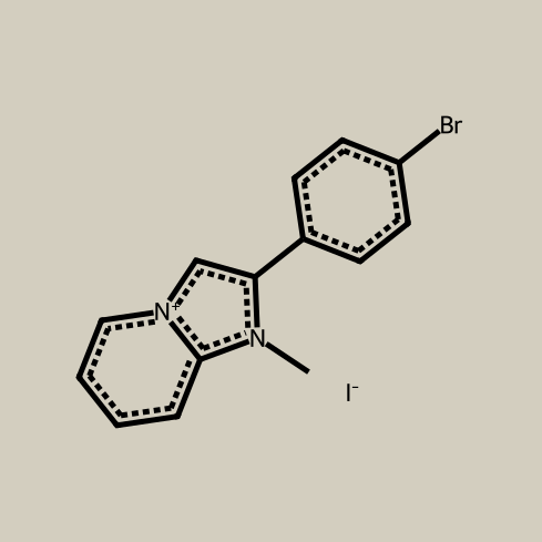 Cn1c(-c2ccc(Br)cc2)c[n+]2ccccc12.[I-]